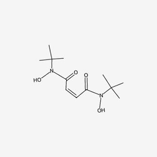 CC(C)(C)N(O)C(=O)/C=C\C(=O)N(O)C(C)(C)C